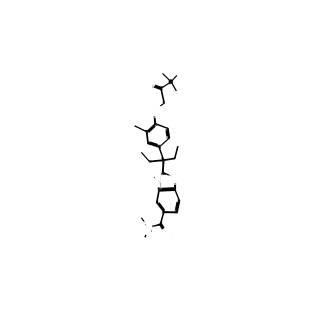 CCC(CC)(c1ccc(OCC(=O)C(C)(C)C)c(C)c1)c1nc2cc(C(=O)N(C)C)ccc2o1